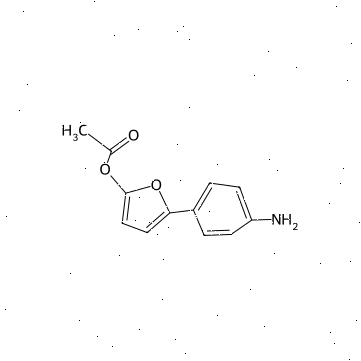 CC(=O)Oc1ccc(-c2ccc(N)cc2)o1